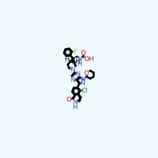 O=C(O)NC[C@]1(c2ccccc2F)[C@@H]2CCN(c3cnc4c(-c5ccc6c(=O)[nH]ccc6c5Cl)nn(C5CCCCO5)c4n3)C[C@@H]21